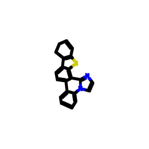 C1=Cc2sc3c(ccc4c5ccccc5n5ccnc5c43)c2CC1